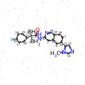 BC(B)(C(=O)Nc1cc2cc(-c3cncn3C)ccc2cn1)c1ccc(F)cc1